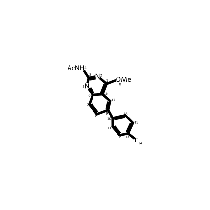 COc1nc(NC(C)=O)nc2ccc(-c3ccc(F)cc3)cc12